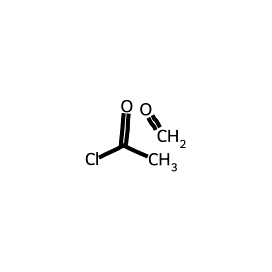 C=O.CC(=O)Cl